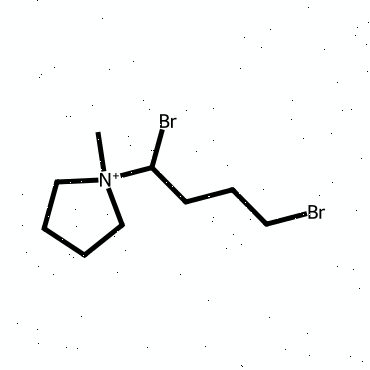 C[N+]1(C(Br)CCCBr)CCCC1